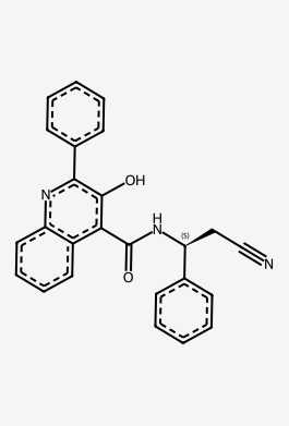 N#CC[C@H](NC(=O)c1c(O)c(-c2ccccc2)nc2ccccc12)c1ccccc1